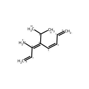 C=C/C=C\C(=C(\N)C=C)C(C)C